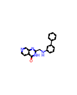 O=c1[nH]c(CNc2cccc(-c3ccccc3)c2)nc2cnccc12